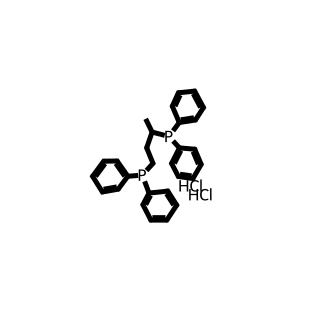 CC(CCP(c1ccccc1)c1ccccc1)P(c1ccccc1)c1ccccc1.Cl.Cl